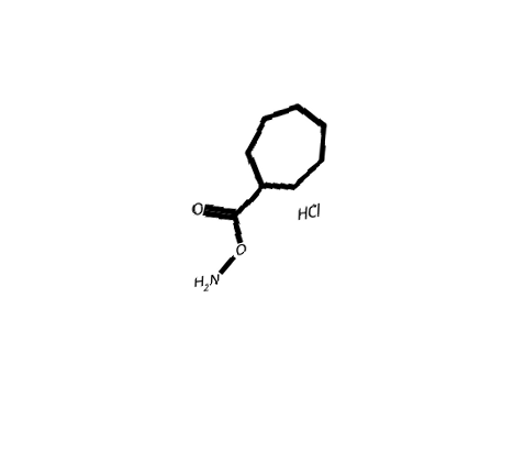 Cl.NOC(=O)C1CCCCCC1